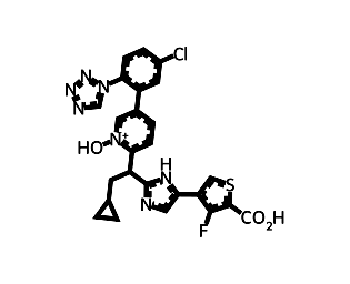 O=C(O)c1scc(-c2cnc(C(CC3CC3)c3ccc(-c4cc(Cl)ccc4-n4cnnn4)c[n+]3O)[nH]2)c1F